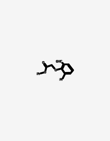 CC(C)OC(=O)COc1c(C=O)cccc1C(C)C